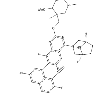 C#Cc1c(F)ccc2cc(O)cc(-c3c(F)cc4c(N5C[C@H]6CC[C@@H](C5)N6)nc(OCC5(C)CN(C)CCC5OC)nc4c3F)c12